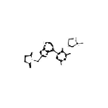 Cc1cc(Cl)cc(-c2ccnc3cc(CN4C(=O)CCC4=O)sc23)c1O[C@@H]1CN[C@@H](C)C1